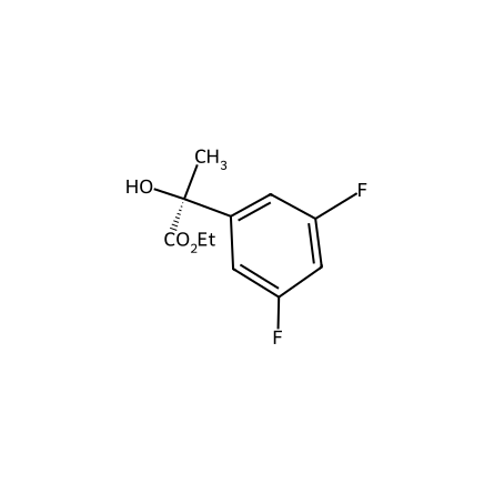 CCOC(=O)[C@@](C)(O)c1cc(F)cc(F)c1